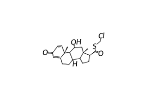 C[C@]12C=CC(=O)C=C1CC[C@@H]1C2[C@@H](O)C[C@@]2(C)C1CC[C@@H]2C(=O)SCCl